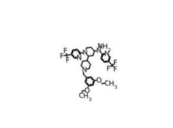 CCOc1cc(CN2CCC(C3CC(N(N)c4ccc(C(F)(F)F)cn4)CCN3c3ccc(C(F)(F)F)cn3)CC2)cc(OCC)c1